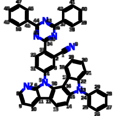 N#Cc1cc(-n2c3ncccc3c3ccc4c(c5ccccc5n4-c4ccccc4)c32)ccc1-c1nc(-c2ccccc2)nc(-c2ccccc2)n1